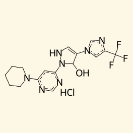 Cl.OC1C(n2cnc(C(F)(F)F)c2)=CNN1c1cc(N2CCCCC2)ncn1